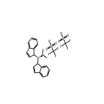 C[C](C)=[Zr+2]([CH]1C=Cc2ccccc21)[CH]1C=Cc2ccccc21.O=S(=O)([O-])C(F)(F)F.O=S(=O)([O-])C(F)(F)F